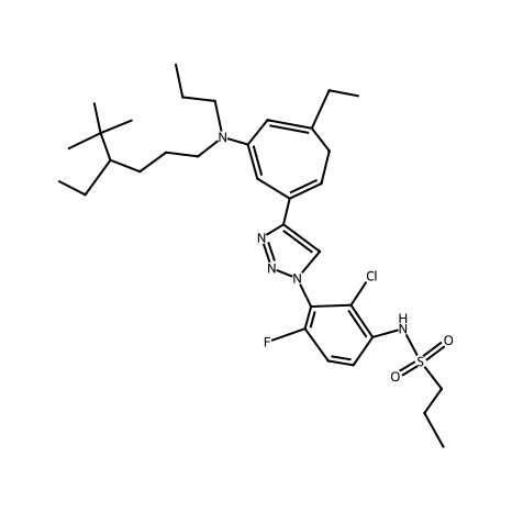 CCCN(CCCC(CC)C(C)(C)C)C1=CC(c2cn(-c3c(F)ccc(NS(=O)(=O)CCC)c3Cl)nn2)=CCC(CC)=C1